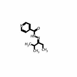 CCC(=NNC(=O)c1ccncc1)C(C)C